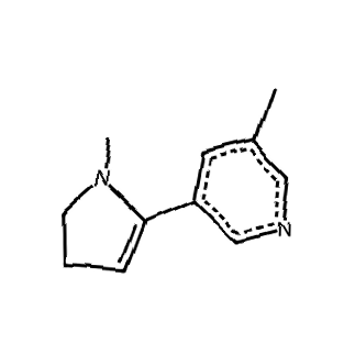 Cc1cncc(C2=CCCN2C)c1